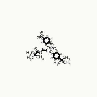 CC(C)(C)C(=S)OCCOP(=O)(Oc1ccc([N+](=O)[O-])cc1)Oc1ccc(C(C)(C)C)cc1